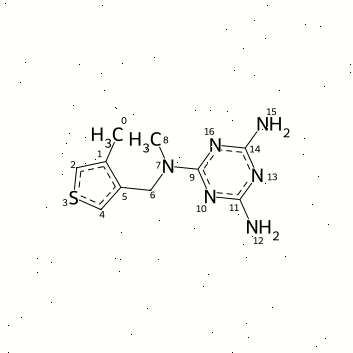 Cc1cscc1CN(C)c1nc(N)nc(N)n1